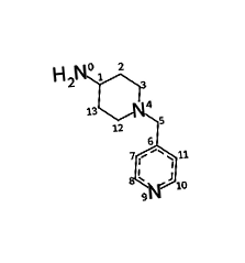 NC1CCN(Cc2ccncc2)CC1